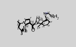 Cc1cc(C)n2ccc(C(=O)NC3(C)C=C(/N=C\N)CCC3)c2n1